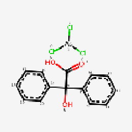 Cl[As](Cl)Cl.O=C(O)C(O)(c1ccccc1)c1ccccc1